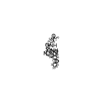 C=CC(=O)N1CCC(NC(=O)c2sc3nccc4c3c2NC(=O)N4c2c(C)cc(Oc3ccccc3)cc2F)C1